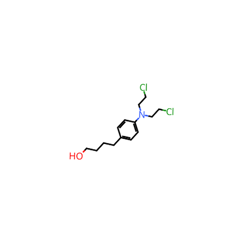 OCCCCc1ccc(N(CCCl)CCCl)cc1